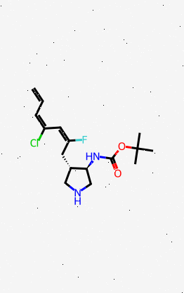 C=C/C=C(Cl)\C=C(\F)C[C@H]1CNC[C@@H]1NC(=O)OC(C)(C)C